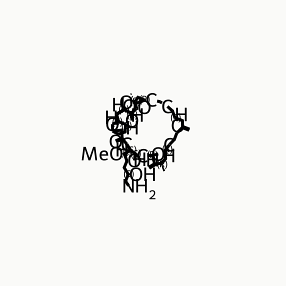 C=C1C[C@@H]2CCCC[C@@]34C[C@]5(C)O[C@H]6C(O3)[C@H]3OC(CC[C@@H]3O[C@H]6C5O4)CC(=O)C[C@H]3[C@H](C[C@H]4O[C@@H](CCC1O2)C[C@@H](C)C4=C)OC(C[C@H](O)CN)[C@@H]3OC